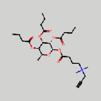 C#CC[N+](C)(C)CCCC(=O)O[C@H]1O[C@@H](C)[C@@H](OC(=O)CCC)[C@@H](OC(=O)CCC)[C@@H]1OC(=O)CCC